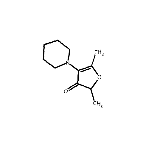 CC1=C(N2CCCCC2)C(=O)C(C)O1